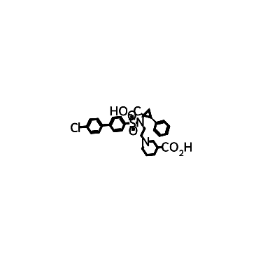 O=C(O)C1CCCN(CCN([C@]2(C(=O)O)C[C@H]2c2ccccc2)S(=O)(=O)c2ccc(-c3ccc(Cl)cc3)cc2)C1